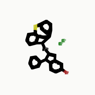 Brc1ccc2c(c1)C=[C]([Zr+2][CH]1c3cc4c1cccc4sc1ccc3cc1)C2c1ccccc1.[Cl-].[Cl-]